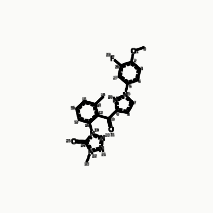 COc1ccc(-n2ccc(C(=O)c3c(C)cccc3-n3nnn(C)c3=O)n2)cc1F